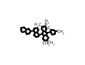 Bc1cc2c(-c3ccc(C)cc3C)c3cc(C)c(C)cc3c(-c3cccc4c(-c5ccc6ccccc6c5)cccc34)c2cc1C